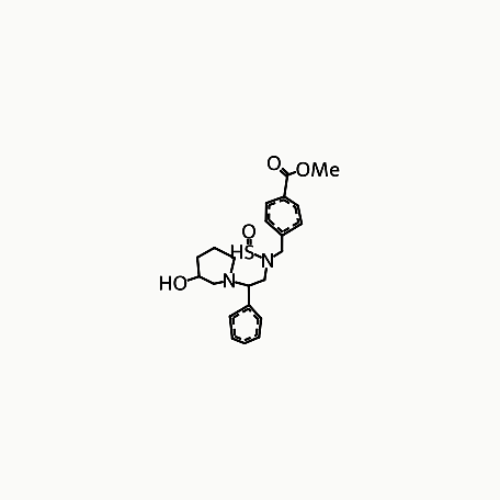 COC(=O)c1ccc(CN(CC(c2ccccc2)N2CCCC(O)C2)[SH]=O)cc1